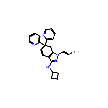 O=CC=Cn1nc(NC2CCC2)c2c1CC(c1ccccn1)(c1ccccn1)C=C2